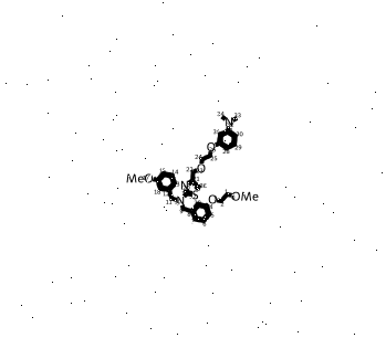 COCCOc1cccc(CN(Cc2cccc(OC)c2)c2nc(COCCOc3cccc(N(C)C)c3)cs2)c1